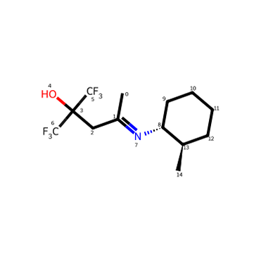 C/C(CC(O)(C(F)(F)F)C(F)(F)F)=N\[C@@H]1CCCC[C@H]1C